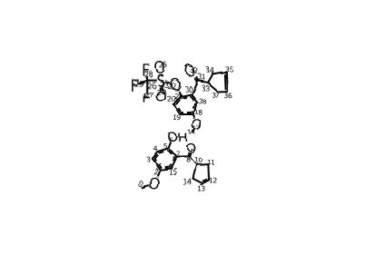 COc1ccc(O)c(C(=O)C2CC=CC2)c1.COc1ccc(OS(=O)(=O)C(F)(F)F)c(C(=O)C2CC=CC2)c1